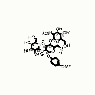 COc1ccc(O[C@H]2OC(CO)[C@@H](O[C@@H]3OC(CO)[C@@H](O)[C@@H](O)C3NC(C)=O)[C@H](O)C2O[C@@H]2OC(CO)[C@@H](O)[C@@H](O)C2NC(C)=O)cc1